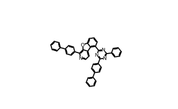 c1ccc(-c2ccc(-c3nc(-c4ccccc4)nc(-c4cccc5oc6c(-c7ccc(-c8ccccc8)cc7)nccc6c45)n3)cc2)cc1